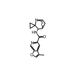 Cc1coc2cnc(C(=O)NC3C4CCN(CC4)C34CC4)cc12